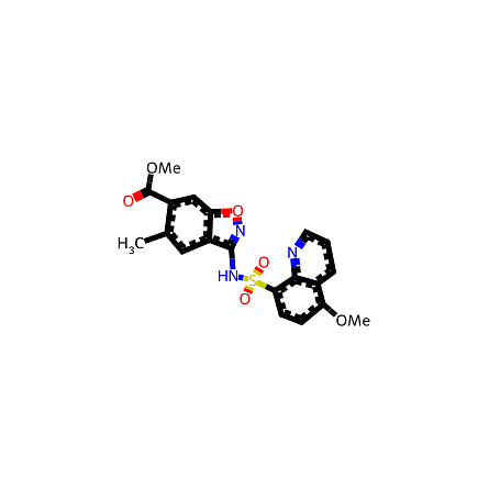 COC(=O)c1cc2onc(NS(=O)(=O)c3ccc(OC)c4cccnc34)c2cc1C